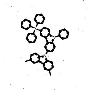 Cc1ccc2c(c1)c1cc(C)ccc1n2-c1ccc2c(c1)c1cc(S(c3ccccc3)(c3ccccc3)c3ccccc3)ccc1n2-c1ccccc1